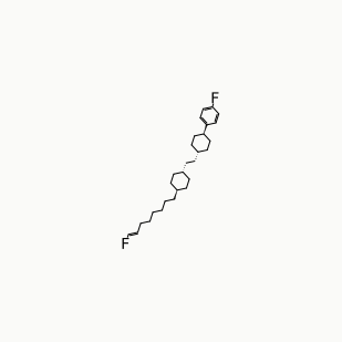 FC=CCCCCCC[C@H]1CC[C@H](CC[C@H]2CC[C@H](c3ccc(F)cc3)CC2)CC1